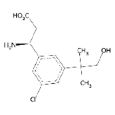 CC(C)(CO)c1cc(Cl)cc([C@@H](N)CC(=O)O)c1